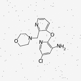 Nc1cc(Cl)cnc1Oc1cccnc1CN1CCOCC1